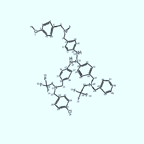 COc1ccc(CN(C)Cc2ccc(NN(Nc3ccc(CN(Cc4ccc(Cl)cc4)CC(F)(F)F)cc3)c3ccc(CN(Cc4ccccc4)CC(F)(F)F)cc3)cc2)cc1